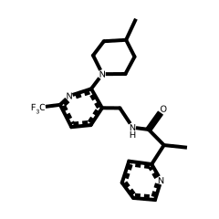 CC1CCN(c2nc(C(F)(F)F)ccc2CNC(=O)C(C)c2ccccn2)CC1